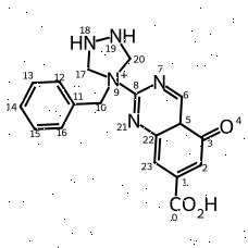 O=C(O)C1=CC(=O)C2C=NC([N+]3(Cc4ccccc4)CNNC3)=NC2=C1